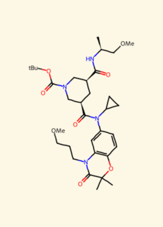 COCCCN1C(=O)C(C)(C)Oc2ccc(N(C(=O)[C@@H]3C[C@H](C(=O)N[C@@H](C)COC)CN(C(=O)OC(C)(C)C)C3)C3CC3)cc21